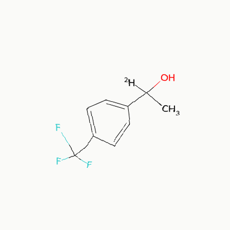 [2H]C(C)(O)c1ccc(C(F)(F)F)cc1